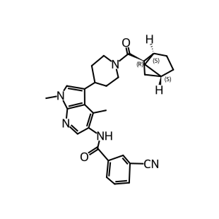 Cc1c(NC(=O)c2cccc(C#N)c2)cnc2c1c(C1CCN(C(=O)[C@@H]3C[C@H]4CC[C@H]3C4)CC1)cn2C